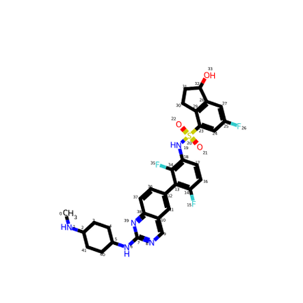 CNC1CCC(Nc2ncc3cc(-c4c(F)ccc(NS(=O)(=O)c5cc(F)cc6c5CCC6O)c4F)ccc3n2)CC1